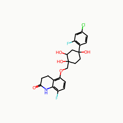 O=C1CCc2c(OCC3(O)CCC(O)(c4ccc(Cl)cc4F)CC3O)ccc(F)c2N1